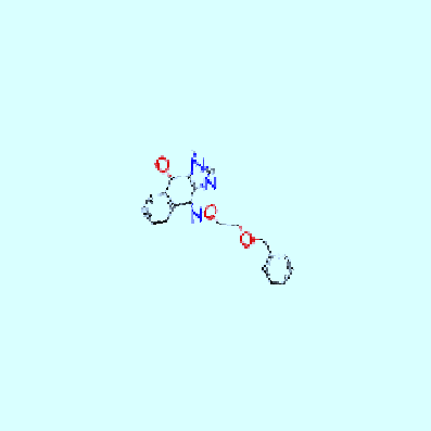 Cn1cnc2c1C(=O)c1ccccc1/C2=N/OCCOCc1ccccc1